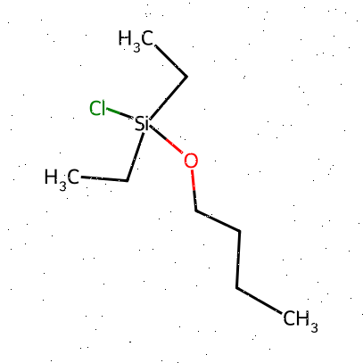 CCCCO[Si](Cl)(CC)CC